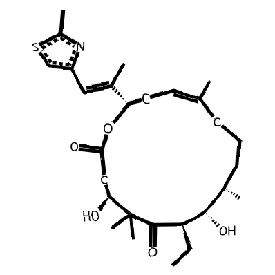 CC[C@H]1C(=O)C(C)(C)[C@@H](O)CC(=O)O[C@H](C(C)=Cc2csc(C)n2)C/C=C(/C)CCC[C@H](C)[C@@H]1O